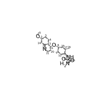 COc1ccc2c(Oc3ccc(NS(N)(=O)=O)c(C)c3)ccnc2c1